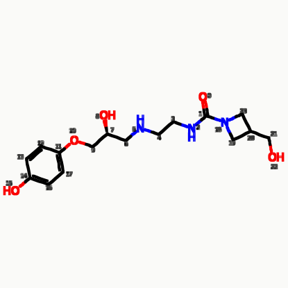 O=C(NCCNC[C@H](O)COc1ccc(O)cc1)N1CC(CO)C1